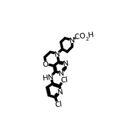 O=C(O)N1CCC(N2CCOc3c(Nc4ccc(Cl)nc4Cl)ncnc32)CC1